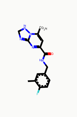 Cc1cc(CNC(=O)C2=NC3=NCNN3C(C(=O)O)=C2)ccc1F